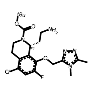 Cc1nnc(COc2c(F)cc(Cl)c3c2[C@@H](CCN)N(C(=O)OC(C)(C)C)CC3)n1C